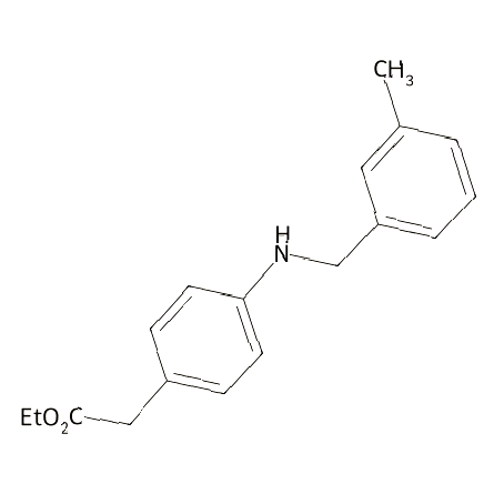 CCOC(=O)Cc1ccc(NCc2cccc(C)c2)cc1